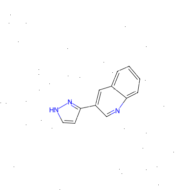 c1ccc2ncc(-c3cc[nH]n3)cc2c1